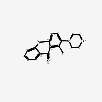 Cc1c(N2CCOCC2)ccc2sc3ccccc3c(=O)c12